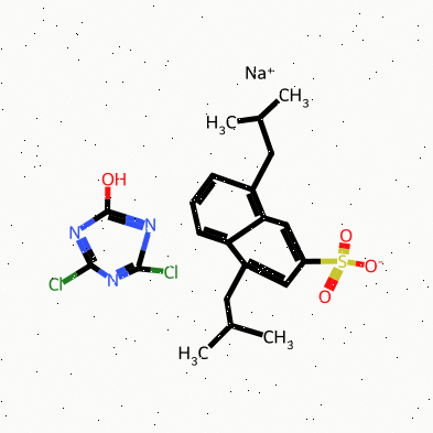 CC(C)Cc1cc(S(=O)(=O)[O-])cc2c(CC(C)C)cccc12.Oc1nc(Cl)nc(Cl)n1.[Na+]